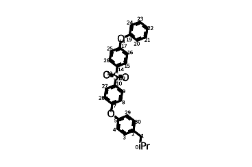 CC(C)Cc1ccc(Oc2ccc(S(=O)(=O)c3ccc(Oc4ccccc4)cc3)cc2)cc1